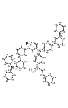 CC/C=C\C(=C/Cc1cccc(-c2cccc3c2c2ccccc2n3-c2ccccc2)c1)N(c1ccc(/C(C)=C/C=C2/C=CC=CC2)cc1)c1ccc(-c2cccc(-c3ccccc3)c2)cc1